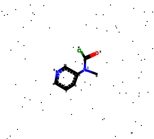 CN(C(=O)Cl)c1cccnc1